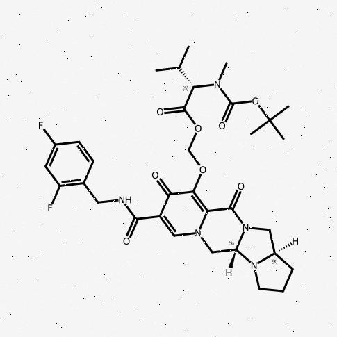 CC(C)[C@@H](C(=O)OCOc1c2n(cc(C(=O)NCc3ccc(F)cc3F)c1=O)C[C@@H]1N(C[C@H]3CCCN31)C2=O)N(C)C(=O)OC(C)(C)C